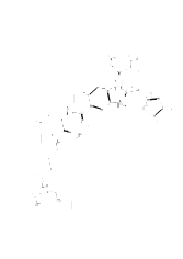 CCC[C@H](NC(=O)c1ccc2c(c1)nc(Cc1cccs1)n2C(CC)CC)C(=O)NCCCCN(CC)CC